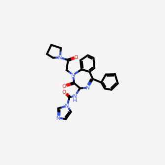 O=C(CN1C(=O)C(NC(=O)n2ccnc2)N=C(c2ccccc2)c2ccccc21)N1CCCC1